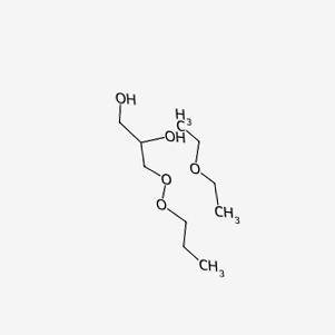 CCCOOCC(O)CO.CCOCC